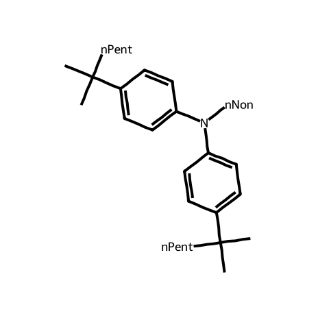 CCCCCCCCCN(c1ccc(C(C)(C)CCCCC)cc1)c1ccc(C(C)(C)CCCCC)cc1